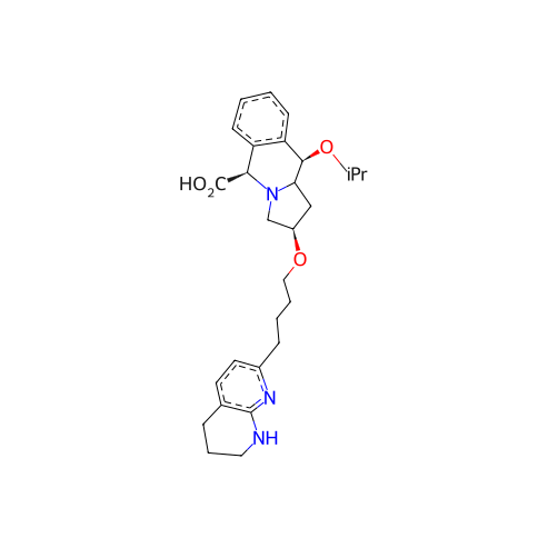 CC(C)O[C@@H]1c2ccccc2[C@H](C(=O)O)N2C[C@H](OCCCCc3ccc4c(n3)NCCC4)CC12